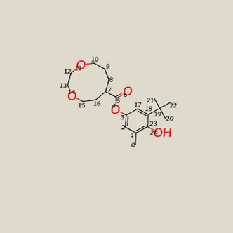 Cc1cc(OC(=O)C2CCCOCCOCC2)cc(C(C)(C)C)c1O